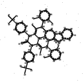 CC1=C2N(c3ccc(C(C)(C)C)cc3)C(=O)N(c3ccc(C(C)(C)C)cc3)C3=C(C)B(c4c(C)cccc4C)c4c(c(cc5c4oc4ccccc45)B1c1c(C)cccc1C)N23